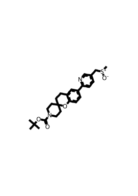 C[S+]([O-])Cc1ccc(-c2ccc3c(c2)CCC2(CCN(C(=O)OC(C)(C)C)CC2)O3)nc1